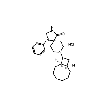 Cl.O=C1NCN(c2ccccc2)C12CCN(C1C[C@H]3CCCCCC[C@@H]13)CC2